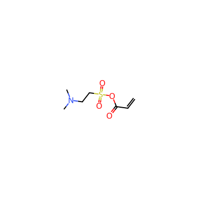 C=CC(=O)OS(=O)(=O)CCN(C)C